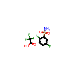 NS(=O)(=O)c1cc(F)ccc1F.O=C(O)C(F)(F)F